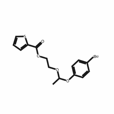 CCC(C)c1ccc(OC(C)OCCOC(=O)c2cccs2)cc1